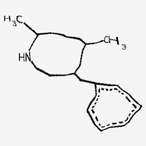 CC1CC(C)C(c2ccccc2)CN1